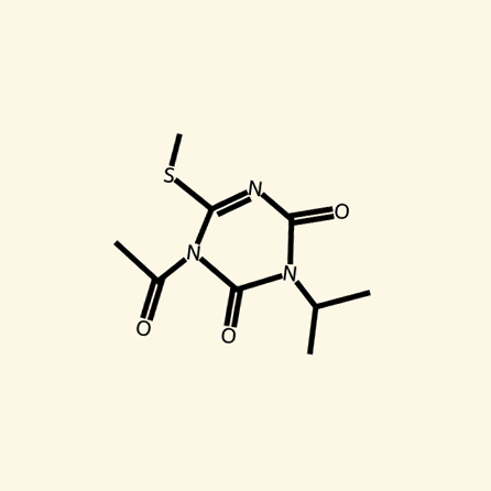 CSc1nc(=O)n(C(C)C)c(=O)n1C(C)=O